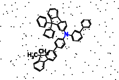 CC1(C)c2ccccc2-c2ccc(-c3ccc(N(c4cccc(-c5ccccc5)c4)c4ccc5c(c4)C(c4ccccc4)(c4ccccc4)c4ccccc4-5)cc3)cc21